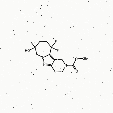 CC1(O)CCC(F)(F)c2c3c(nn2C1)CCN(C(=O)OC(C)(C)C)C3